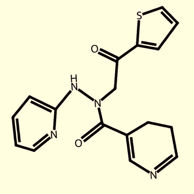 O=C(CN(Nc1ccccn1)C(=O)C1=CN=CCC1)c1cccs1